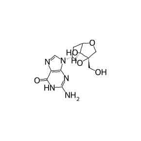 Nc1nc2c(ncn2[C@@H]2CC3OC[C@](CO)(O2)[C@H]3O)c(=O)[nH]1